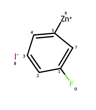 Fc1ccc[c]([Zn+])c1.[I-]